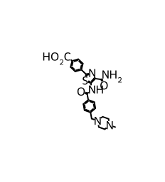 CN1CCN(Cc2ccc(C(=O)Nc3sc(-c4ccc(C(=O)O)cc4)nc3C(N)=O)cc2)CC1